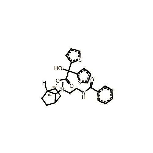 CN(CCNC(=O)c1ccccc1)C1C2CC[C@@H]1[C@H](OC(=O)C(O)(c1cccs1)c1cccs1)C2